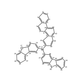 c1ccc2c(c1)ccc1c3cc(N(c4ccc5oc6ccccc6c5c4)c4ccc5sc6ccccc6c5c4)ccc3ccc21